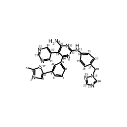 Cc1ncc(-c2cccc(-c3nc(Nc4ccc(Cn5cncn5)cc4)nc(N)c3-c3cncnc3)c2)s1